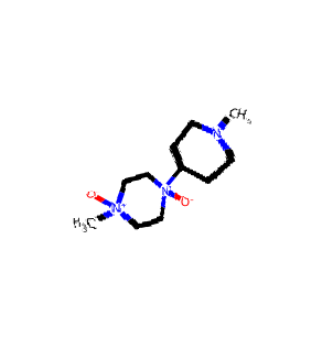 CN1CCC([N+]2([O-])CC[N+](C)([O-])CC2)CC1